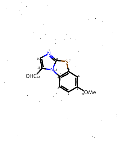 COc1ccc2c(c1)sc1ncc(C=O)n12